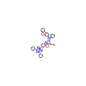 C=C/C=C(\C=C(/C)n1c2ccccc2c2cc3c(cc21)oc1ccccc13)c1nc2ccc(-c3nc(-c4ccccc4)nc(-c4ccccc4)n3)cc2o1